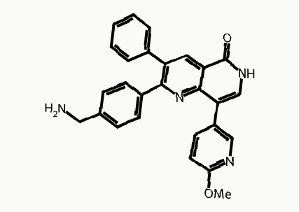 COc1ccc(-c2c[nH]c(=O)c3cc(-c4ccccc4)c(-c4ccc(CN)cc4)nc23)cn1